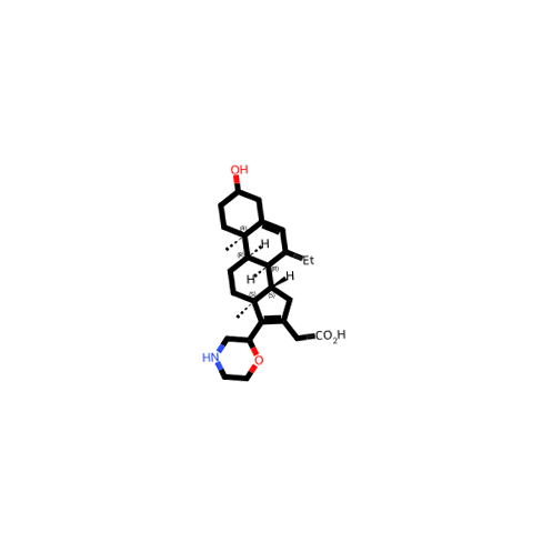 CCC1C=C2CC(O)CC[C@]2(C)[C@@H]2CC[C@]3(C)C(C4CNCCO4)=C(CC(=O)O)C[C@H]3[C@H]12